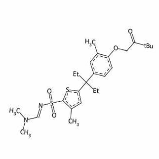 CCC(CC)(c1ccc(OCC(=O)C(C)(C)C)c(C)c1)c1cc(C)c(S(=O)(=O)/N=C/N(C)C)s1